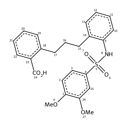 COc1ccc(S(=O)(=O)Nc2ccccc2CCCc2ccccc2C(=O)O)cc1OC